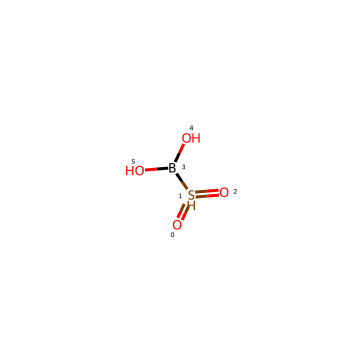 O=[SH](=O)B(O)O